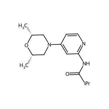 CC(C)C(=O)Nc1cc(N2C[C@@H](C)O[C@@H](C)C2)ccn1